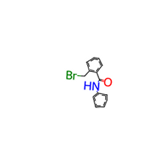 O=C(Nc1ccccc1)c1ccccc1CBr